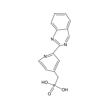 O=P(O)(O)Cc1ccnc(-c2ncc3ccccc3n2)c1